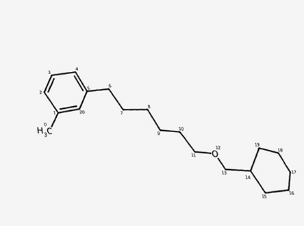 Cc1cccc(CCCCCCOCC2CCCCC2)c1